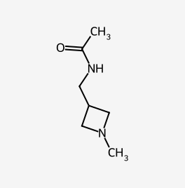 CC(=O)NCC1CN(C)C1